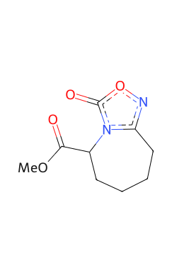 COC(=O)C1CCCCc2noc(=O)n21